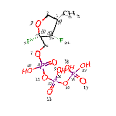 C[C@H]1CO[C@](F)(COP(=O)(O)OP(=O)(O)OP(=O)(O)O)[C@H]1F